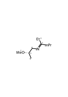 CCCC(CC)=NC[C@H](C)OC